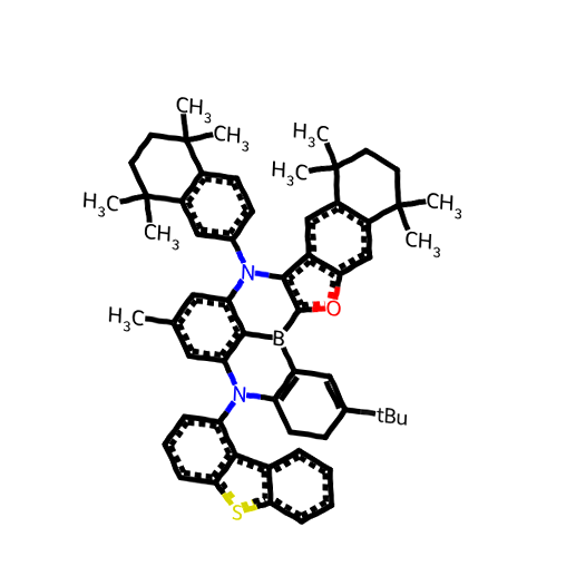 Cc1cc2c3c(c1)N(c1ccc4c(c1)C(C)(C)CCC4(C)C)c1c(oc4cc5c(cc14)C(C)(C)CCC5(C)C)B3C1=C(CCC(C(C)(C)C)=C1)N2c1cccc2sc3ccccc3c12